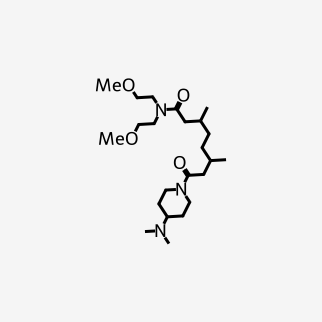 COCCN(CCOC)C(=O)CC(C)CCC(C)CC(=O)N1CCC(N(C)C)CC1